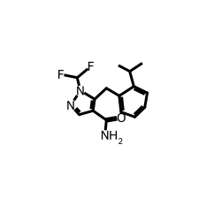 CC(C)c1ccccc1Cc1c(C(N)=O)cnn1C(F)F